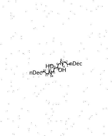 CCCCCCCCCCCC[N+](C)(C)CC(O)C(O)C[N+](C)(C)CCCCCCCCCCCC